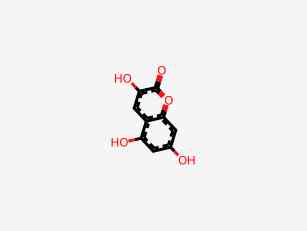 O=c1oc2cc(O)cc(O)c2cc1O